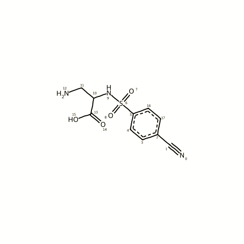 N#Cc1ccc(S(=O)(=O)NC(CN)C(=O)O)cc1